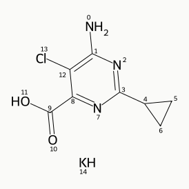 Nc1nc(C2CC2)nc(C(=O)O)c1Cl.[KH]